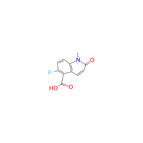 Cn1c(=O)ccc2c(C(=O)O)c(F)ccc21